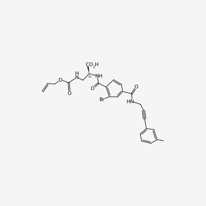 C=CCOC(=O)NC[C@H](NC(=O)c1ccc(C(=O)NCC#Cc2cccc(C)c2)cc1Br)C(=O)O